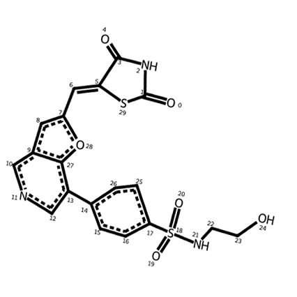 O=C1NC(=O)C(=Cc2cc3cncc(-c4ccc(S(=O)(=O)NCCO)cc4)c3o2)S1